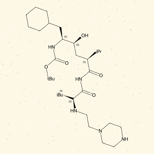 CC[C@H](C)[C@H](NCCN1CCNCC1)C(=O)NC(=O)[C@@H](C[C@H](O)[C@H](CC1CCCCC1)NC(=O)OC(C)(C)C)C(C)C